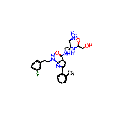 N#Cc1ccccc1-c1ccc(C(=O)NC[C@@H](CN)NC(=O)CO)c(NCCc2cccc(F)c2)n1